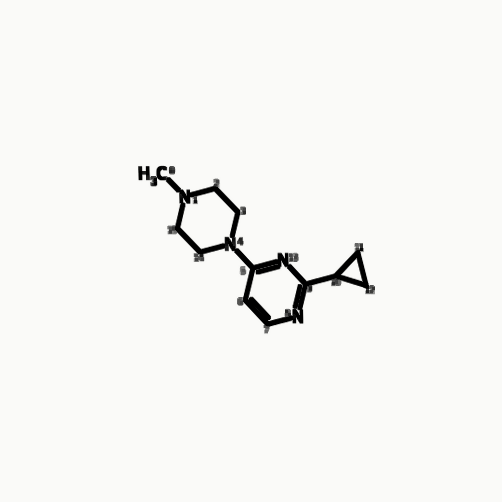 CN1CCN(c2ccnc(C3CC3)n2)CC1